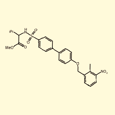 COC(=O)C(NS(=O)(=O)c1ccc(-c2ccc(OCc3cccc([N+](=O)[O-])c3C)cc2)cc1)C(C)C